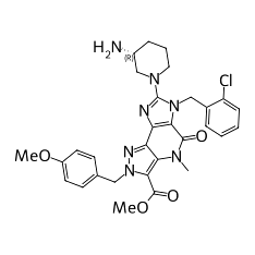 COC(=O)c1c2c(nn1Cc1ccc(OC)cc1)c1nc(N3CCC[C@@H](N)C3)n(Cc3ccccc3Cl)c1c(=O)n2C